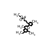 C=C1C=C(c2ccc(C)cc2CCCN(F)C(=O)OCC)Oc2c(CC)cc(CC)cc21